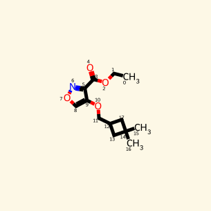 CCOC(=O)c1nocc1OCC1CC(C)(C)C1